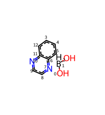 OBO.c1ccc2nccnc2c1